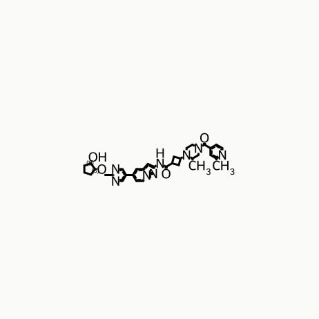 Cc1cc(C(=O)N2CCN(C3CC(C(=O)Nc4cc5cc(-c6cnc(CO[C@H]7CCC[C@@H]7O)nc6)ccn5n4)C3)C(C)C2)ccn1